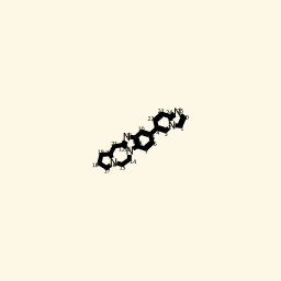 c1cn2cc(-c3ccc4c(c3)nc3n4CCN4CCCC4C3)ccc2n1